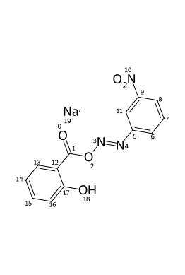 O=C(ON=Nc1cccc([N+](=O)[O-])c1)c1ccccc1O.[Na]